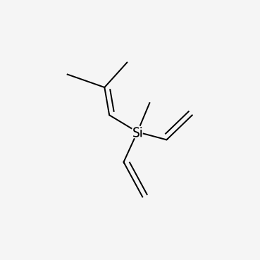 C=C[Si](C)(C=C)C=C(C)C